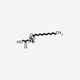 CCCCCCCCCCCC(=O)OS(=O)(=O)OCC(O)CO